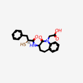 O=C(O)CN1C(=O)C(NC(=O)[C@@H](S)Cc2ccccc2)CCc2ccccc21